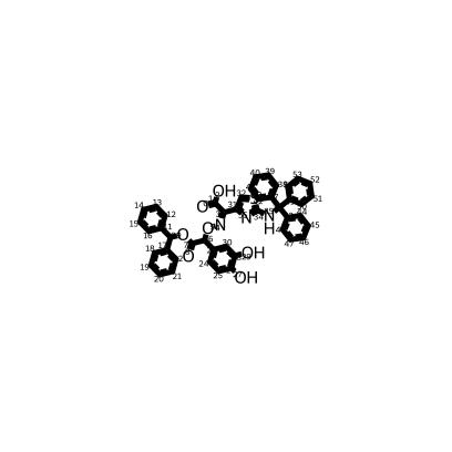 O=C(O)C(=NOC(C(=O)OC(c1ccccc1)c1ccccc1)c1ccc(O)c(O)c1)c1csc(NC(c2ccccc2)(c2ccccc2)c2ccccc2)n1